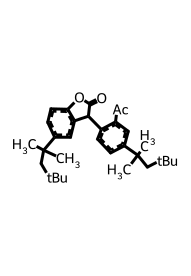 CC(=O)c1cc(C(C)(C)CC(C)(C)C)ccc1C1C(=O)Oc2ccc(C(C)(C)CC(C)(C)C)cc21